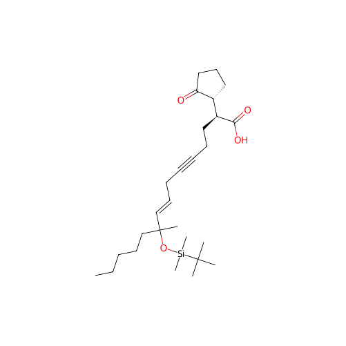 CCCCCC(C)(/C=C/CC#CCC[C@H](C(=O)O)[C@H]1CCCC1=O)O[Si](C)(C)C(C)(C)C